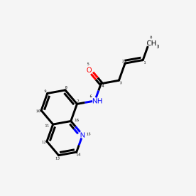 CC=CCC(=O)Nc1cccc2cccnc12